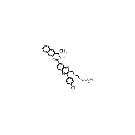 C[C@@H](NC(=O)c1ccc2nc(-c3ccc(Cl)cc3)c(CCCCC(=O)O)nc2c1)c1ccc2ccccc2c1